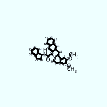 COc1cc2c(cc1OC)C(Cc1ccc3ccccc3c1)N(CC(=O)NC1CCc3ccccc31)CC2